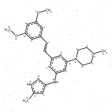 COc1cc(C=Cc2nc(Nc3cc(C)[nH]n3)cc(N3CCN(C)CC3)n2)cc(OC)c1